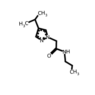 CCCNC(=O)Cn1cc(C(C)C)cn1